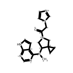 CN(c1ncnc2[nH]ccc12)C1CN(C(=O)Cn2ccnc2)CC12CC2